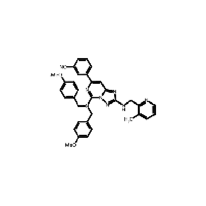 COc1ccc(CN(Cc2ccc(OC)cc2)c2nc(-c3cccc(C#N)c3)cc3nc(NCc4ncccc4C)nn23)cc1